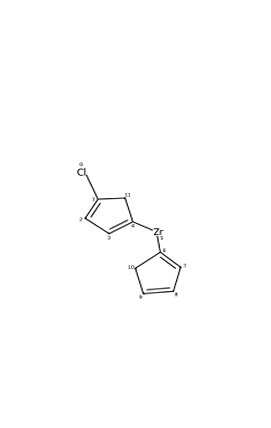 ClC1=CC=[C]([Zr][C]2=CC=CC2)C1